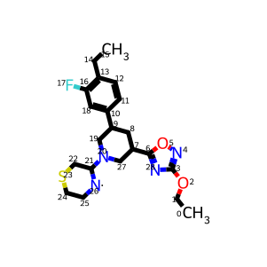 CCOc1noc(C2CC(c3ccc(CC)c(F)c3)CN(C3CSCC[N]3)C2)n1